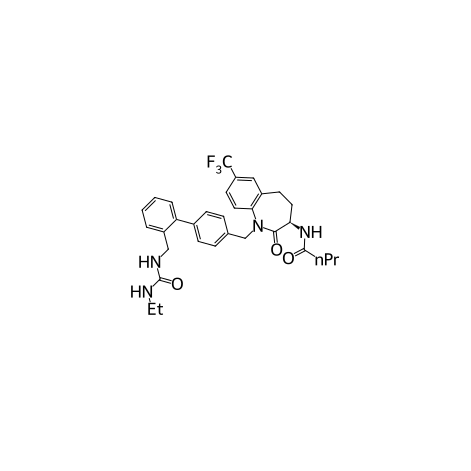 CCCC(=O)N[C@@H]1CCc2cc(C(F)(F)F)ccc2N(Cc2ccc(-c3ccccc3CNC(=O)NCC)cc2)C1=O